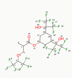 CC(COC(C(F)(F)F)C(F)(F)F)C(=O)OC1CC(C(O)(C(F)(F)F)C(F)(F)F)CC(C(O)(C(F)(F)F)C(F)(F)F)C1